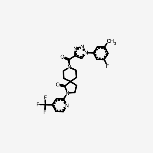 Cc1cc(F)cc(-n2cc(C(=O)N3CCC4(CC3)CCN(c3cc(C(F)(F)F)ccn3)C4=O)nn2)c1